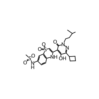 CC(C)CCn1nc(C2CCC2)c(O)c(C2=CS(=O)(=O)c3cc(NS(C)(=O)=O)ccc3N2)c1=O